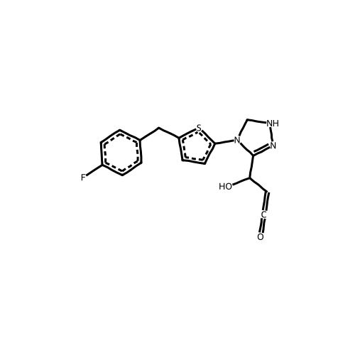 O=C=CC(O)C1=NNCN1c1ccc(Cc2ccc(F)cc2)s1